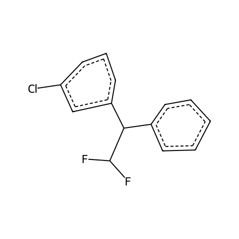 FC(F)C(c1ccccc1)c1cccc(Cl)c1